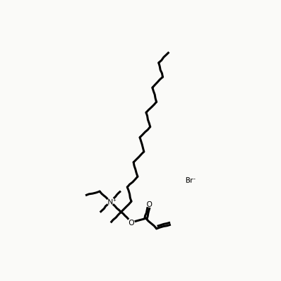 C=CC(=O)OC(C)(CCCCCCCCCCCCC)[N+](C)(C)CC.[Br-]